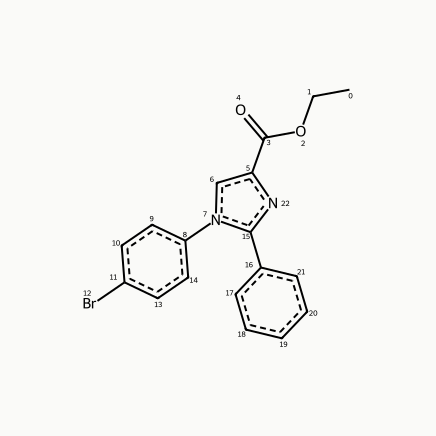 CCOC(=O)c1cn(-c2ccc(Br)cc2)c(-c2ccccc2)n1